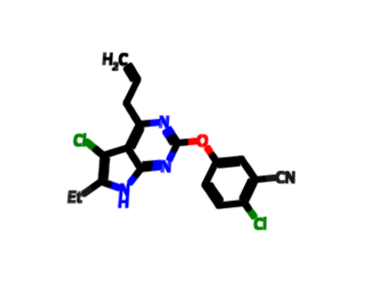 C=CCc1nc(Oc2ccc(Cl)c(C#N)c2)nc2[nH]c(CC)c(Cl)c12